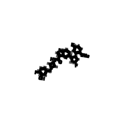 CSc1ccc(F)cc1[C@H]1C[C@H](F)CN1c1ccc2ncc(C(=O)NC3CN(Cc4ccc(F)c(O)c4)C3)n2n1